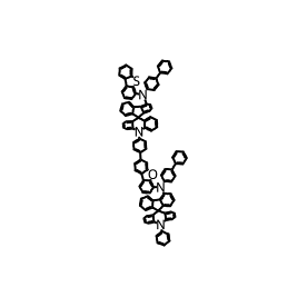 c1ccc(-c2ccc(N(c3cccc4c3-c3ccccc3C43c4ccccc4N(c4ccccc4)c4ccccc43)c3cccc4c3oc3cc(-c5ccc(N6c7ccccc7C7(c8ccccc8-c8c(N(c9ccc(-c%10ccccc%10)cc9)c9cccc%10c9sc9ccccc9%10)cccc87)c7ccccc76)cc5)ccc34)cc2)cc1